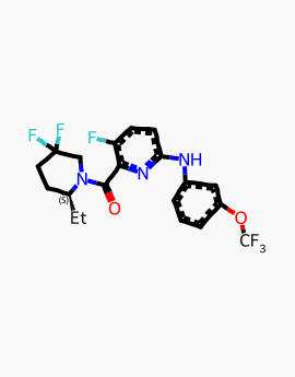 CC[C@H]1CCC(F)(F)CN1C(=O)c1nc(Nc2cccc(OC(F)(F)F)c2)ccc1F